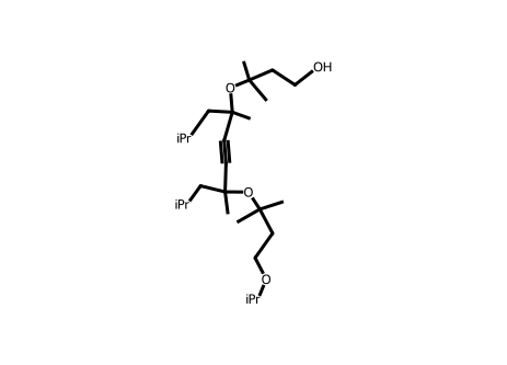 CC(C)CC(C)(C#CC(C)(CC(C)C)OC(C)(C)CCOC(C)C)OC(C)(C)CCO